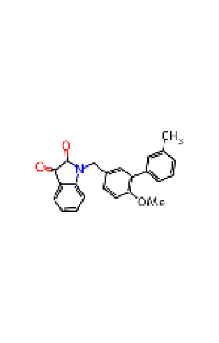 COc1ccc(CN2C(=O)C(=O)c3ccccc32)cc1-c1cccc(C)c1